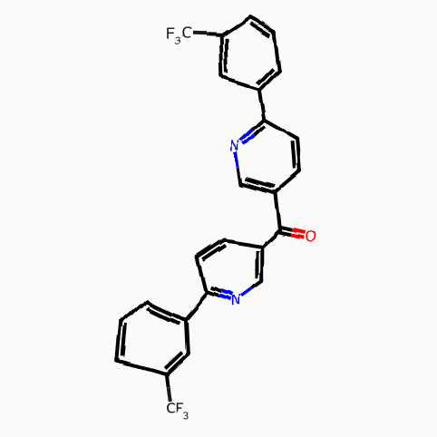 O=C(c1ccc(-c2cccc(C(F)(F)F)c2)nc1)c1ccc(-c2cccc(C(F)(F)F)c2)nc1